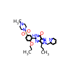 CCCOc1ccc(S(=O)(=O)N2CCN(C)CC2)cc1-c1nc2c(CCC)n(Cc3ccccn3)nc2c(=O)[nH]1